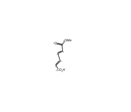 COC(=O)/C=C/C=C/C(=O)O